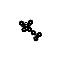 c1ccc2c(c1)-c1cc(-c3ccc(-n4c5ccccc5c5ccccc54)cc3)ccc1C21c2ccc3ccccc3c2Oc2c1ccc1ccccc21